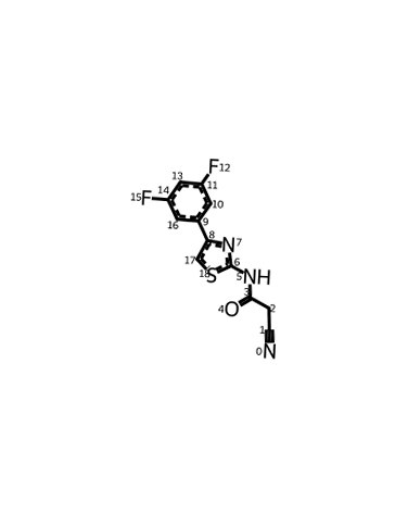 N#CCC(=O)Nc1nc(-c2cc(F)cc(F)c2)cs1